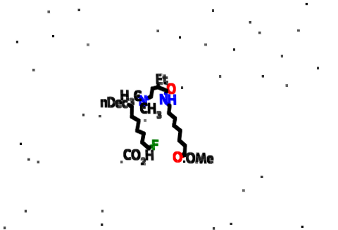 CCC(CCN(C)C)C(=O)NCCCCCCCC(=O)OC.CCCCCCCCCCCCCCCCC(F)C(=O)O